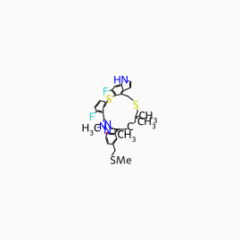 CSCCc1cccc([C@@]2(C)CCCC(C)(C)CSCCc3c(c(F)cc4[nH]ccc34)Sc3ccc(F)c(c3)-c3nc2nn3C)c1